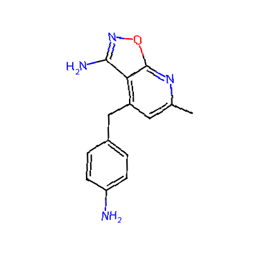 Cc1cc(Cc2ccc(N)cc2)c2c(N)noc2n1